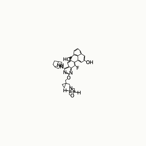 C#Cc1cccc2cc(O)cc(-c3c(F)cc4c(N5CC6CCC(C5)N6)nc(OCC5(CN6C[C@H]7C[C@@H]6CO7)CC5)nc4c3F)c12